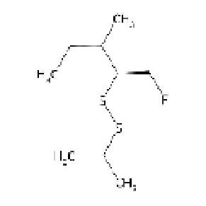 CCC(C)[C@@H](CF)SSC(C)C